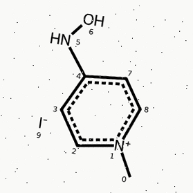 C[n+]1ccc(NO)cc1.[I-]